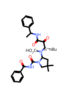 CCCC[C@@H](C(=O)C(=O)NC(C)c1ccccc1)N(C(=O)O)C1CC(C)(C)CN1C(=O)NC(=O)c1ccccc1